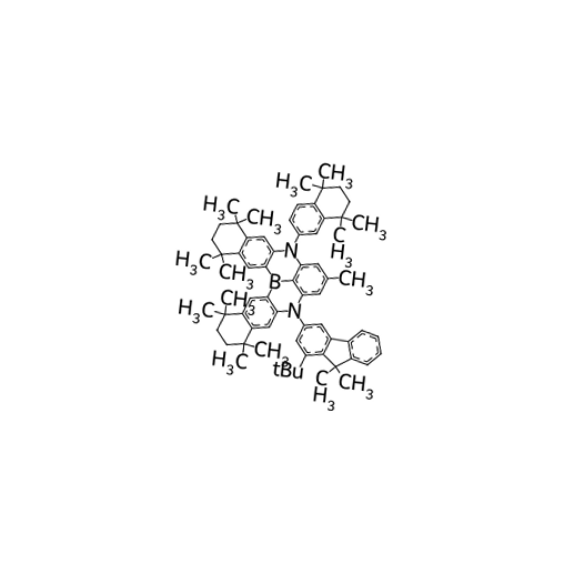 Cc1cc2c3c(c1)N(c1ccc4c(c1)C(C)(C)CCC4(C)C)c1cc4c(cc1B3c1cc3c(cc1N2c1cc2c(c(C(C)(C)C)c1)C(C)(C)c1ccccc1-2)C(C)(C)CCC3(C)C)C(C)(C)CCC4(C)C